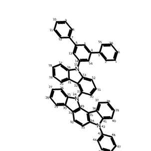 c1ccc(-c2cc(-c3ccccc3)cc(-n3c4ccccc4c4c(-n5c6ccccc6c6ccc7c(c8ccccc8n7-c7ccccc7)c65)cccc43)c2)cc1